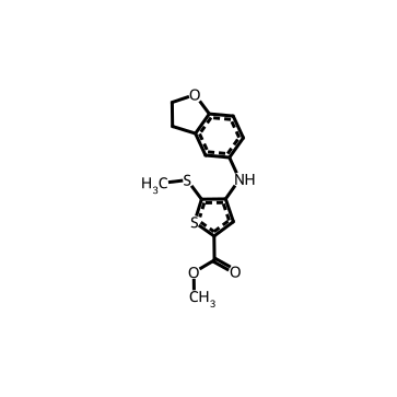 COC(=O)c1cc(Nc2ccc3c(c2)CCO3)c(SC)s1